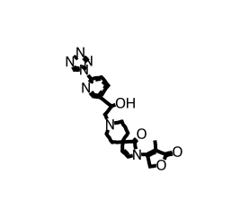 CC1=C(N2C=CC3(CCN(CC(O)c4ccc(-n5cnnn5)nc4)CC3)C2=O)COC1=O